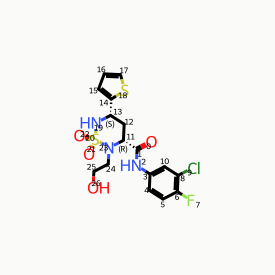 O=C(Nc1ccc(F)c(Cl)c1)[C@H]1C[C@@H](c2cccs2)NS(=O)(=O)N1CCO